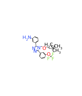 C[Si](C)(C)CCOCn1c(-c2cccc(N)c2)nnc1-c1cccc(OC(F)(F)F)c1